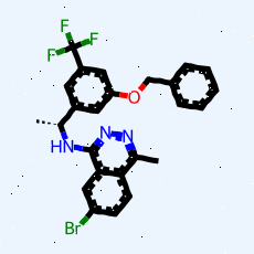 Cc1nnc(N[C@H](C)c2cc(OCc3ccccc3)cc(C(F)(F)F)c2)c2cc(Br)ccc12